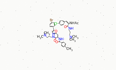 CC(=O)NC(=Cc1ccc(Cl)cc1)C(=O)NCCCN(C)C.Cc1ccc(C(=O)NC(=Cc2ccc(-c3ccc(Br)cc3)o2)C(=O)NCCCN(C)C)cc1